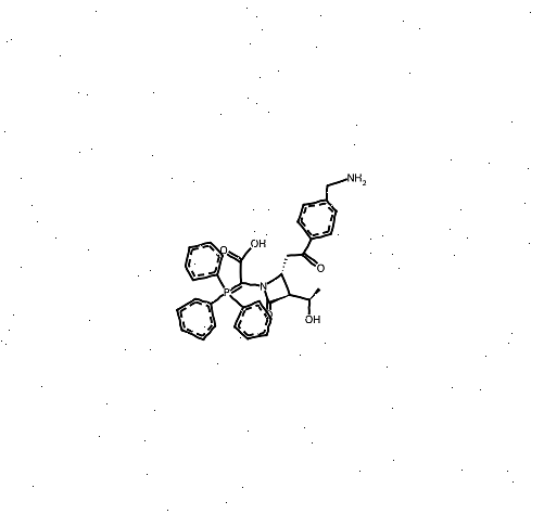 C[C@@H](O)[C@H]1C(=O)N(C(C(=O)O)=P(c2ccccc2)(c2ccccc2)c2ccccc2)[C@@H]1CC(=O)c1ccc(CN)cc1